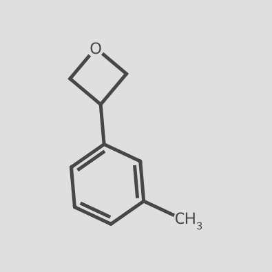 Cc1cccc(C2COC2)c1